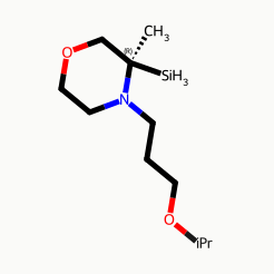 CC(C)OCCCN1CCOC[C@@]1(C)[SiH3]